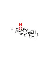 CC[C@]1(O)CC[C@@H](C(C)C)CC1